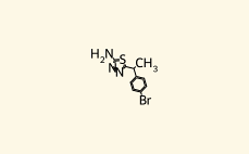 CC(c1ccc(Br)cc1)c1nnc(N)s1